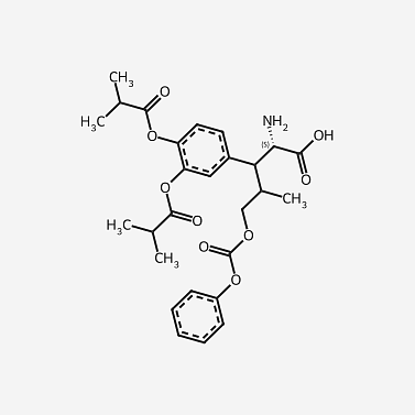 CC(C)C(=O)Oc1ccc(C(C(C)COC(=O)Oc2ccccc2)[C@H](N)C(=O)O)cc1OC(=O)C(C)C